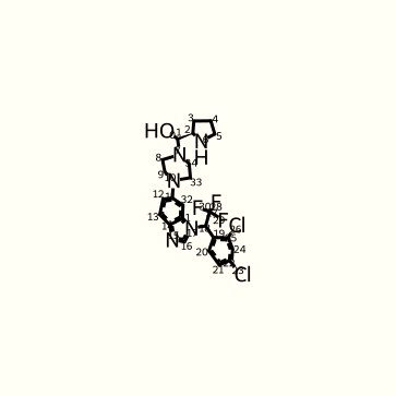 OC([C@H]1CCCN1)N1CCN(c2ccc3ncn(C(c4ccc(Cl)cc4Cl)C(F)(F)F)c3c2)CC1